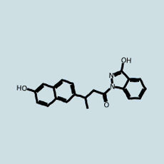 CC(CC(=O)n1nc(O)c2ccccc21)c1ccc2cc(O)ccc2c1